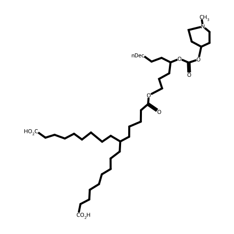 CCCCCCCCCCCCC(CCCOC(=O)CCCCC(CCCCCCCCC(=O)O)CCCCCCCCC(=O)O)OC(=O)OC1CCN(C)CC1